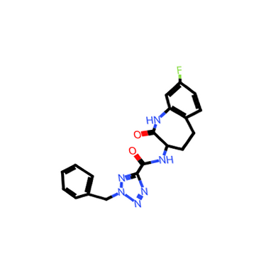 O=C(NC1CCc2ccc(F)cc2NC1=O)c1nnn(Cc2ccccc2)n1